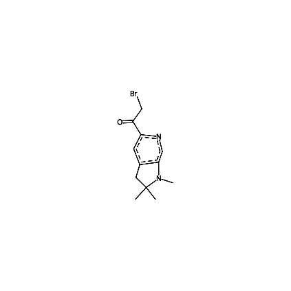 CN1c2cnc(C(=O)CBr)cc2CC1(C)C